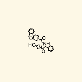 O=C(CN[C@@H](C(=O)N1CC(O)C1)c1ccccc1)N1CCC2(CC1)OCc1ccccc12